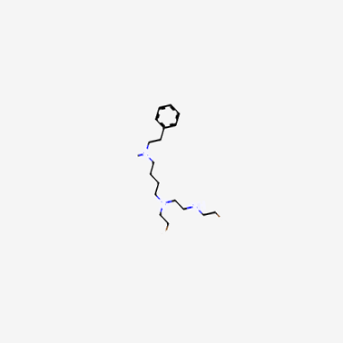 CN(CCCCN(CCS)CCNCC[S])CCc1ccccc1